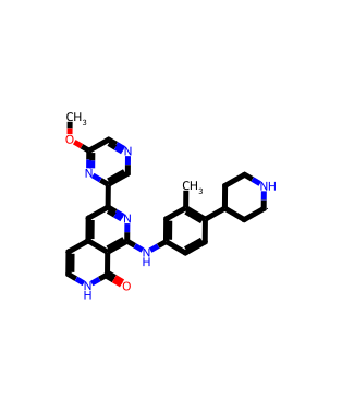 COc1cncc(-c2cc3cc[nH]c(=O)c3c(Nc3ccc(C4C[CH]NCC4)c(C)c3)n2)n1